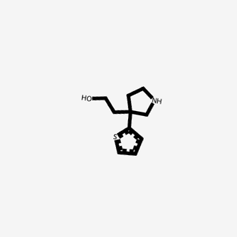 OCCC1(c2cccs2)CCNC1